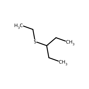 CCS[C](CC)CC